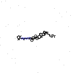 CC1=C(/C=C/C(C)=C/C=C/C(C)=C/C(=O)OCC(=O)OC2CC[C@@]3(C)C(=CCC4C3CC[C@@]3(C)C4CC[C@@H]3[C@H](C)CCCC(C)C)C2)C(C)(C)CCC1